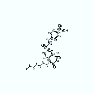 CCCCCCCN1C(=O)CC(C)(C)c2cc(C(=O)/C=C/c3ccc(C(=O)O)cc3)ccc21